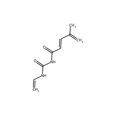 C=CNC(=O)NC(=O)C=CC(=C)C